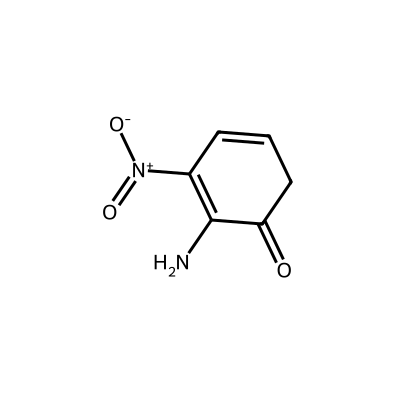 NC1=C([N+](=O)[O-])C=CCC1=O